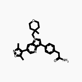 Cc1noc(C)c1-c1cnc2c(-c3ccc(CC(N)=O)cc3)cn(CC3(C)CCOCC3)c2c1